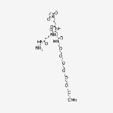 COCCOCCOCCOCCOCCOCCOCCOCCNC(=O)CC[C@H](NC(=O)CCCN1C(=O)C=CC1=O)C(=O)NCCCC(=O)NCCN